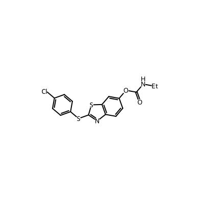 CCNC(=O)Oc1ccc2nc(Sc3ccc(Cl)cc3)sc2c1